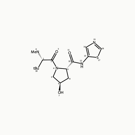 CN[C@H](C(=O)N1C[C@H](O)C[C@H]1C(=O)Nc1cncs1)C(C)(C)C